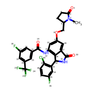 CN1C(=O)CCC1COc1cc(NC(=O)c2cc(F)cc(C(F)(F)F)c2)c2c(c1)C(=O)NC2c1cc(F)ccc1Cl